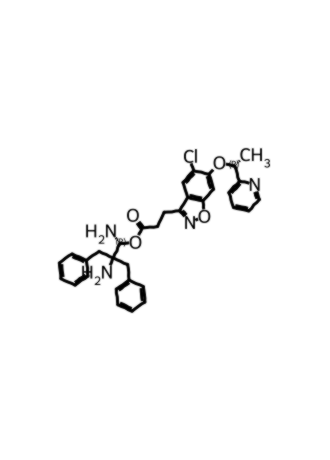 C[C@@H](Oc1cc2onc(CCC(=O)O[C@@H](N)C(N)(Cc3ccccc3)Cc3ccccc3)c2cc1Cl)c1ccccn1